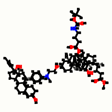 CC#C[C@]1(O)CCC2C3CCC4=CC(=O)CCC4=C3[C@@H](c3ccc(N(C)CCO[C@H]4CC[C@@]5(C)[C@@H](C4)C[C@@H](OC(=O)CCCNC(=O)OC(C)(C)C)[C@@H]4[C@@H]5C[C@H](O)[C@]5(C)[C@@H]([C@H](C)CCC(=O)OC)CC[C@@H]45)cc3)C[C@@]21C